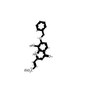 CCCc1c(OCc2ccccc2)ccc2c(=O)cc(/C=C/C(=O)OCC)[nH]c12